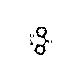 C=C=O.O=C(c1ccccc1)c1ccccc1